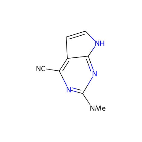 CNc1nc(C#N)c2cc[nH]c2n1